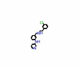 Clc1cccc(CCNCc2cccc(Nc3cccnc3)c2)c1